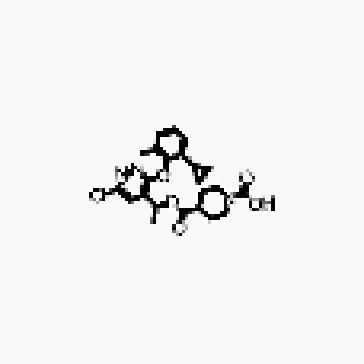 Cc1cccc(C2CC2)c1Oc1nnc(Cl)cc1C(C)OC(=O)C1CCN(C(=O)O)CC1